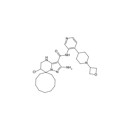 Nc1nn2c(c1C(=O)Nc1cnccc1C1CCN(C3COC3)CC1)NCC(Cl)C21CCCCCCCCC1